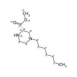 CCCCCCCN1CCN[C@H](C(=O)OC)C1